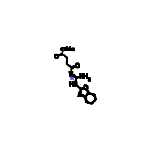 COC(=O)CCC(=O)/N=C(\N)Nc1nc2ccccc2o1